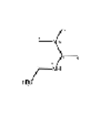 CCCCCNC(C)N(C)C